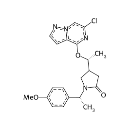 COc1ccc([C@@H](C)N2CC([C@@H](C)Oc3nc(Cl)cn4nccc34)CC2=O)cc1